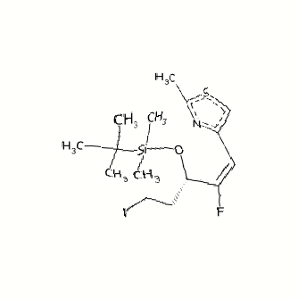 Cc1nc(/C=C(/F)[C@H](CCI)O[Si](C)(C)C(C)(C)C)cs1